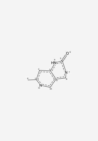 Cc1cc2[nH]c(=O)ncc2cn1